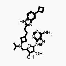 CC(C)N(CC1O[C@@H](n2cnc3c(N)ncnc32)[C@H](O)C1O)C1CC(CCc2nc3cc(C4CCC4)ccc3[nH]2)C1